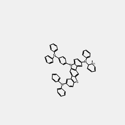 C[C@H]1C=CC=CC1N(c1ccccc1)c1ccc2c(c1)c1cc3sc4ccc(N(c5ccccc5)c5ccccc5)cc4c3cc1n2-c1ccc(N(c2ccccc2)c2ccccc2)cc1